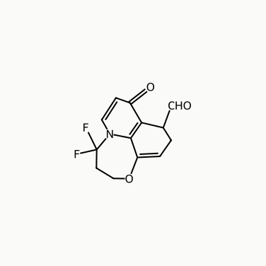 O=CC1CC=C2OCCC(F)(F)n3ccc(=O)c1c32